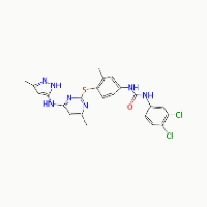 Cc1cc(Nc2cc(C)nc(Sc3ccc(NC(=O)Nc4ccc(Cl)c(Cl)c4)cc3C)n2)[nH]n1